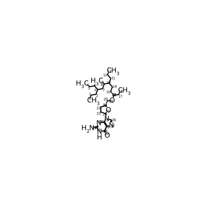 CCCC(CCC)CC(C)C(CCC)CC[C@@H](CC)OC[C@@H]1CCC(n2cnc3c(=O)[nH]c(N)nc32)O1